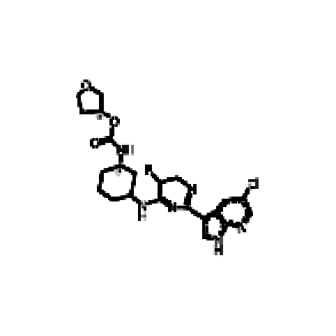 O=C(N[C@@H]1CCCC(NC2=NC(c3c[nH]c4ncc(Cl)cc34)=NCC2F)C1)O[C@H]1CCOC1